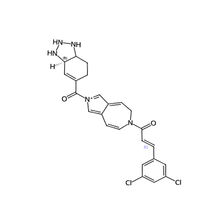 O=C(/C=C/c1cc(Cl)cc(Cl)c1)N1C=CC2=C[N+](C(=O)C3=C[C@H]4NNNC4CC3)=CC2=CC1